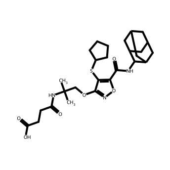 CC(C)(COc1noc(C(=O)NC2C3CC4CC(C3)CC2C4)c1SC1CCCC1)NC(=O)CCC(=O)O